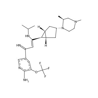 CC(C)N/C(=C\C(=N)c1cnc(N)c(OC(F)(F)F)c1)[C@H]1[C@@H]2C[C@H](N3CCN(C)C[C@@H]3C)C[C@@H]21